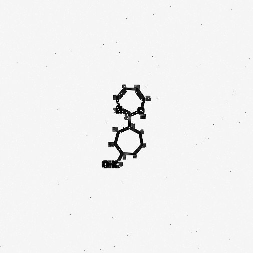 O=CC1CCCC(C2=NC=CC=CO2)CC1